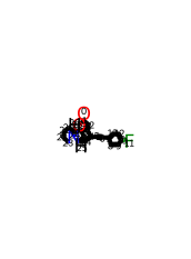 O=C1C=C2C(C#Cc3ccc(F)cc3)=C[C@@H]3C[C@@]2(O1)[C@H]1CCCCN31